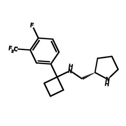 Fc1ccc(C2(NC[C@@H]3CCCN3)CCC2)cc1C(F)(F)F